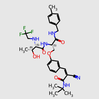 Cc1ccc(CNC(=O)[C@H](COc2cccc(C=C(C#N)C(=O)NC(C)(C)C)c2)NC(=O)[C@@H](NCC(F)(F)F)[C@@H](C)O)cc1